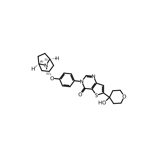 CN1[C@@H]2CC[C@H]1C[C@H](Oc1ccc(-n3cnc4cc(C5(O)CCOCC5)sc4c3=O)cc1)C2